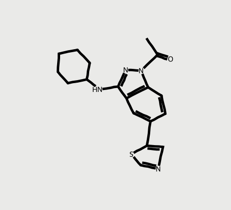 CC(=O)n1nc(NC2CCCCC2)c2cc(-c3cncs3)ccc21